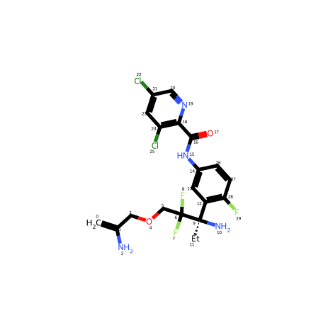 C=C(N)COCC(F)(F)[C@@](N)(CC)c1cc(NC(=O)c2ncc(Cl)cc2Cl)ccc1F